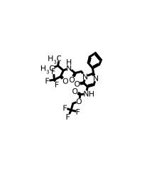 CC(C)C(NC(=O)Cn1c(-c2ccccc2)ncc(NC(=O)OCC(F)(F)F)c1=O)C(=O)C(F)(F)F